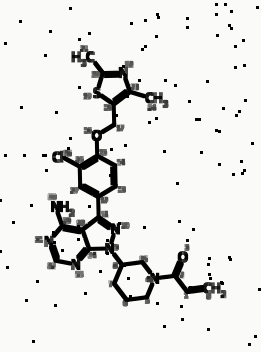 C=CC(=O)N1CCCC(n2nc(-c3ccc(OCc4sc(C)nc4C)c(Cl)c3)c3c(N)ncnc32)C1